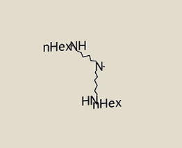 CCCCCCNCCCCCCN(C)CCCCCCNCCCCCC